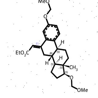 CCOC(=O)/C=C1\C[C@@H]2[C@H](CC[C@]3(C)[C@@H](OCOC)CC[C@@H]23)c2ccc(OCOC)cc21